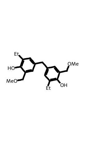 CCc1cc(Cc2cc(CC)c(O)c(COC)c2)cc(COC)c1O